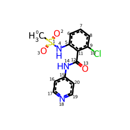 CS(=O)(=O)Nc1cccc(Cl)c1C(=O)Nc1ccncc1